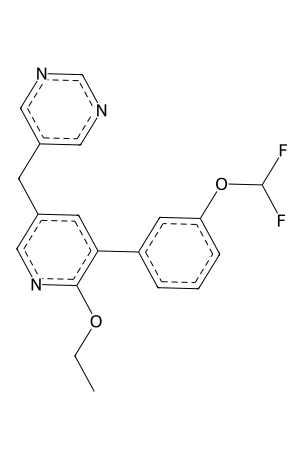 CCOc1ncc(Cc2cncnc2)cc1-c1cccc(OC(F)F)c1